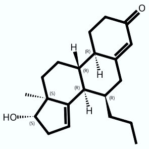 CCC[C@@H]1CC2=CC(=O)CC[C@@H]2[C@H]2CC[C@@]3(C)C(=CC[C@@H]3O)[C@H]12